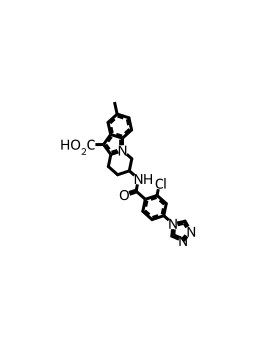 Cc1ccc2c(c1)c(C(=O)O)c1n2CC(NC(=O)c2ccc(-n3cnnc3)cc2Cl)CC1